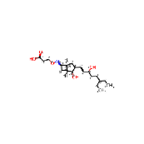 CCC(CC)CCC(O)C=CC1C[C@@H]2C(=NOCCC(=O)O)C[C@H]2C1O